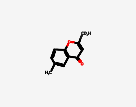 Cc1ccc2oc(C(=O)O)cc(=O)c2c1